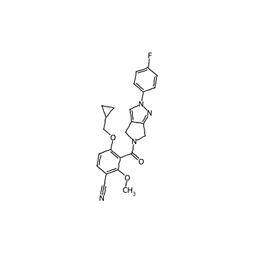 COc1c(C#N)ccc(OCC2CC2)c1C(=O)N1Cc2cn(-c3ccc(F)cc3)nc2C1